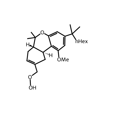 CCCCCCC(C)(C)c1cc(OC)c2c(c1)OC(C)(C)[C@H]1CC=C(COO)C[C@H]21